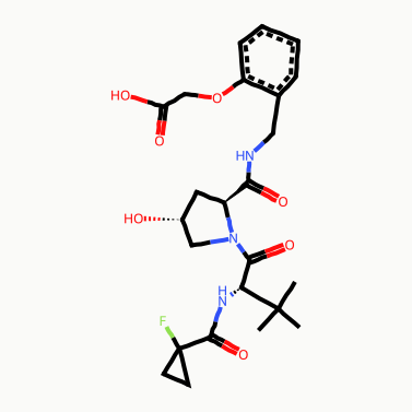 CC(C)(C)[C@H](NC(=O)C1(F)CC1)C(=O)N1C[C@H](O)C[C@H]1C(=O)NCc1ccccc1OCC(=O)O